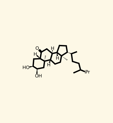 CC(C)C(C)CCC(C)[C@H]1CC[C@H]2[C@@H]3CC(=O)[C@H]4C[C@H](O)[C@H](O)C[C@]4(C)[C@H]3CC[C@]12C